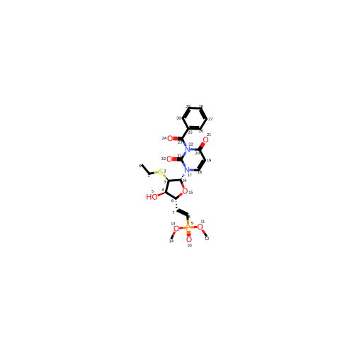 CCS[C@@H]1[C@H](O)[C@@H](/C=C/P(=O)(OC)OC)O[C@H]1n1ccc(=O)n(C(=O)c2ccccc2)c1=O